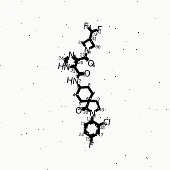 O=C(NC1CCC2(CC1)CCN(c1ccc(F)cc1Cl)C2=O)c1[nH]cnc1C(=O)N1CC(C(F)F)C1